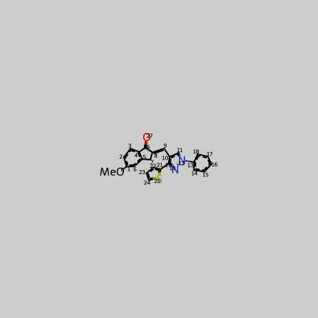 COc1ccc2c(c1)CC(=Cc1cn(-c3ccccc3)nc1-c1cccs1)C2=O